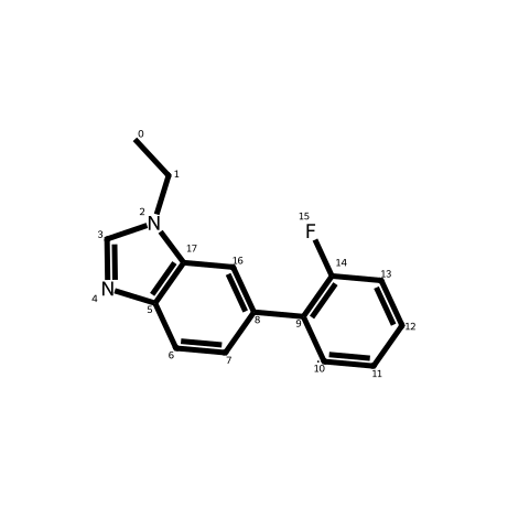 CCn1cnc2ccc(-c3[c]cccc3F)cc21